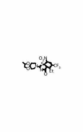 CCc1c(C(F)(F)F)cc([N+](=O)[O-])c2sc(N3CCC4(CC3)OCC(C)O4)nc(=O)c12